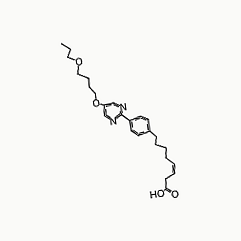 CCCOCCCCOc1cnc(-c2ccc(CCCC/C=C\CC(=O)O)cc2)nc1